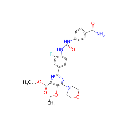 CCOC(=O)c1nc(-c2ccc(NC(=O)Nc3ccc(C(N)=O)cc3)c(F)c2)nc(N2CCOCC2)c1OCC